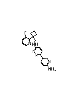 Nc1ccc(-c2ccc(NCC3(c4ncccc4F)CCC3)nn2)cn1